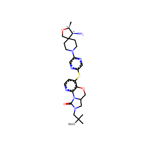 COC(C)(C)CN1CC2COc3c(Sc4cnc(N5CCC6(CC5)CO[C@@H](C)[C@H]6N)cn4)ccnc3N2C1=O